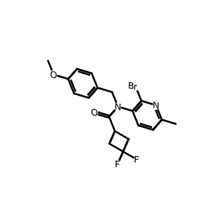 COc1ccc(CN(C(=O)C2CC(F)(F)C2)c2ccc(C)nc2Br)cc1